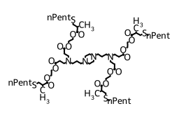 CCCCCSCC(C)C(=O)OCCOC(=O)CCN(CCCN1CCN(CCCN(CCC(=O)OCCOC(=O)C(C)CSCCCCC)CCC(=O)OCCOC(=O)C(C)CSCCCCC)CC1)CCC(=O)OCCOC(=O)C(C)CSCCCCC